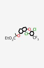 CCOC(=O)[C@@H](C)Oc1ccc2ccc(Oc3c(Cl)cc(C(F)(F)F)cc3Cl)cc2c1